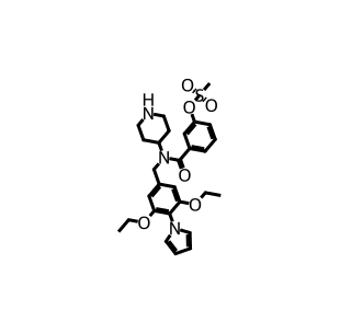 CCOc1cc(CN(C(=O)c2cccc(OS(C)(=O)=O)c2)C2CCNCC2)cc(OCC)c1-n1cccc1